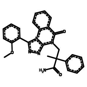 COc1ccccc1-c1nnc2n(CC(C)(C(N)=O)c3ccccc3)c(=O)c3ccccc3n12